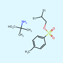 CC(C)(N)C(=O)O.CCC(CC)COS(=O)(=O)c1ccc(C)cc1